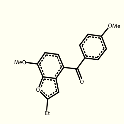 CCc1cc2c(C(=O)c3ccc(OC)cc3)ccc(OC)c2o1